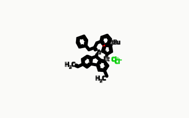 C=Cc1ccc2c(c1)-c1cc(C=C)ccc1[CH]2[Zr+2]([C]1=CC(C(C)(C)C)=CC1CC)=[C](Cc1ccccc1)Cc1ccccc1.[Cl-].[Cl-]